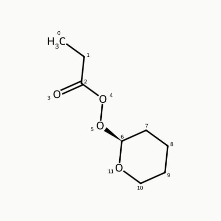 CCC(=O)OO[C@H]1CCCCO1